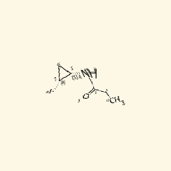 CCC(=O)N[C@H]1C[C@H]1F